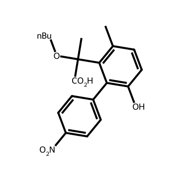 CCCCOC(C)(C(=O)O)c1c(C)ccc(O)c1-c1ccc([N+](=O)[O-])cc1